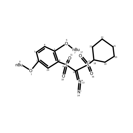 CCCCOc1ccc(OCCCC)c(S(=O)(=O)C(=[N+]=[N-])S(=O)(=O)C2CCCCC2)c1